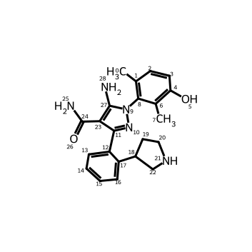 Cc1ccc(O)c(C)c1-n1nc(-c2ccccc2C2CCNC2)c(C(N)=O)c1N